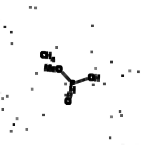 C.CO[PH](=O)O